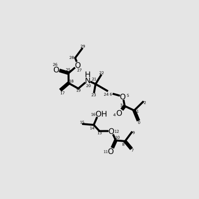 C=C(C)C(=O)OC.C=C(C)C(=O)OCC(C)O.C=C(CNC(C)(C)C)C(=O)OCC